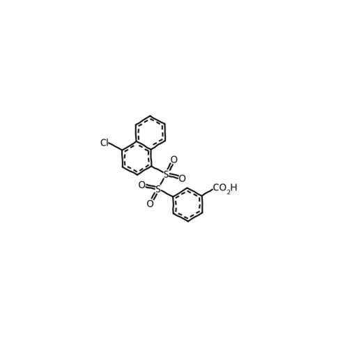 O=C(O)c1cccc(S(=O)(=O)S(=O)(=O)c2ccc(Cl)c3ccccc23)c1